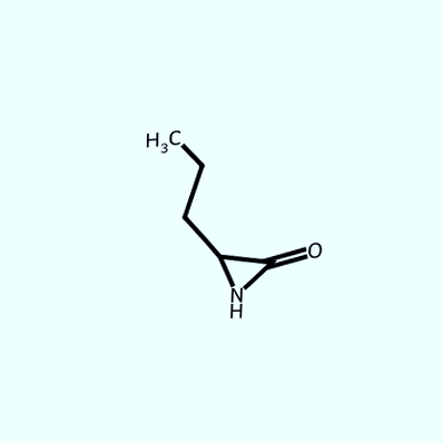 CCCC1NC1=O